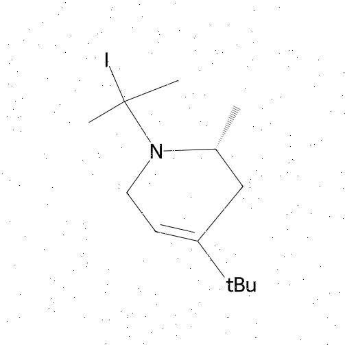 C[C@@H]1CC(C(C)(C)C)=CCN1C(C)(C)I